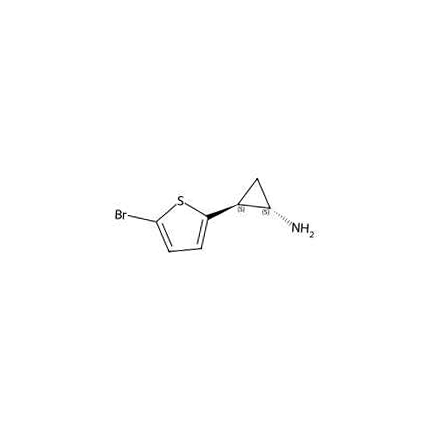 N[C@H]1C[C@@H]1c1ccc(Br)s1